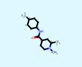 CN1CCC(C(=O)NC2CCC(C(F)(F)F)CC2)CC1C(F)(F)F